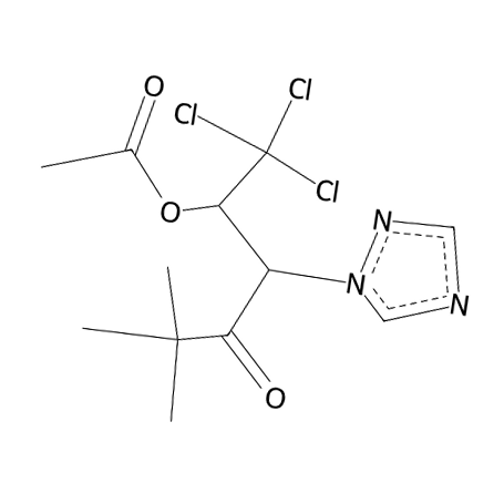 CC(=O)OC(C(C(=O)C(C)(C)C)n1cncn1)C(Cl)(Cl)Cl